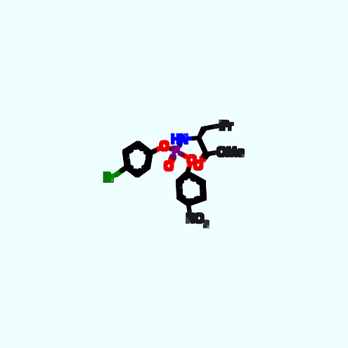 COC(=O)[C@H](CC(C)C)NP(=O)(Oc1ccc(Br)cc1)Oc1ccc([N+](=O)[O-])cc1